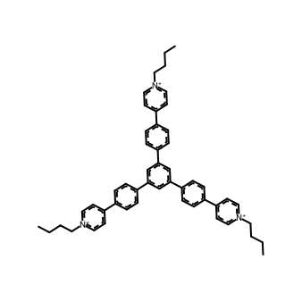 CCCC[n+]1ccc(-c2ccc(-c3cc(-c4ccc(-c5cc[n+](CCCC)cc5)cc4)cc(-c4ccc(-c5cc[n+](CCCC)cc5)cc4)c3)cc2)cc1